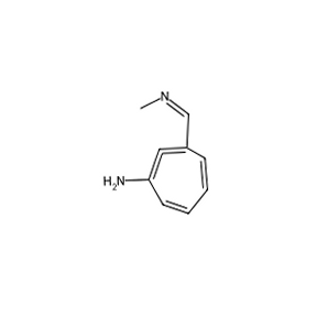 C/N=C\C1=C=C(N)C=CC=C1